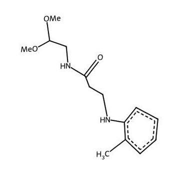 COC(CNC(=O)CCNc1ccccc1C)OC